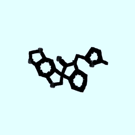 Cc1ccc(CN2C(=O)[C@]3(COc4cc5c(cc43)OCO5)c3ccccc32)o1